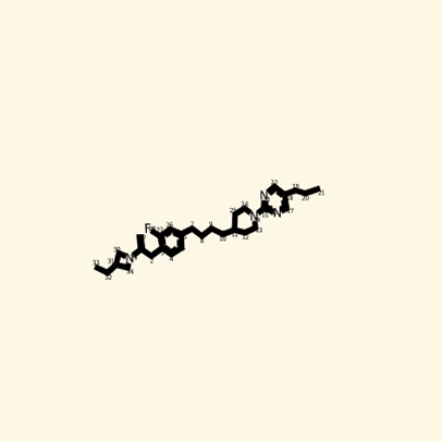 C=C(Cc1ccc(CCCCC2CCN(c3ncc(CCC)cn3)CC2)cc1F)N1CC(CC)C1